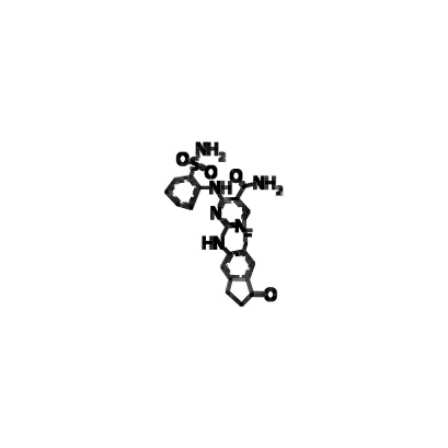 NC(=O)c1cnc(Nc2cc3c(cc2F)C(=O)CC3)nc1Nc1ccccc1S(N)(=O)=O